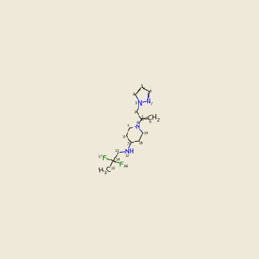 C=C(CN1CCC=N1)N1CCC(NCC(C)(F)F)CC1